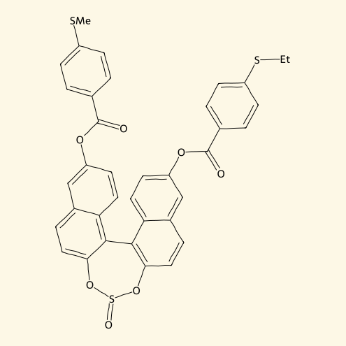 CCSc1ccc(C(=O)Oc2ccc3c4c(ccc3c2)OS(=O)Oc2ccc3cc(OC(=O)c5ccc(SC)cc5)ccc3c2-4)cc1